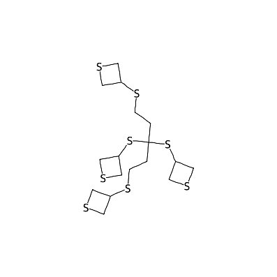 C(CC(CCSC1CSC1)(SC1CSC1)SC1CSC1)SC1CSC1